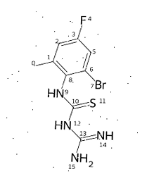 Cc1cc(F)cc(Br)c1NC(=S)NC(=N)N